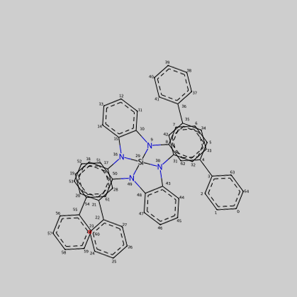 c1ccc(-c2cccc(N3c4ccccc4N(c4cccc(-c5ccccc5)c4)[Si]34N(c3cccc(-c5ccccc5)c3)c3ccccc3N4c3cccc(-c4ccccc4)c3)c2)cc1